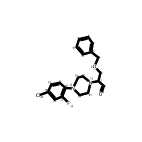 O=CC(COCc1ccccc1)N1CCN(c2ccc(Cl)cc2F)CC1